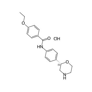 CCOc1ccc(C(=O)Nc2ccc([C@H]3CNCCO3)cc2)cc1.Cl